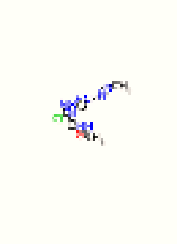 C=CC(=O)Nc1cccc(-c2nc(Nc3cccc(NCCCN4CCN(CC)CC4)c3)ncc2Cl)c1